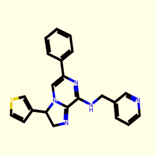 C1=C(c2ccccc2)N=C(NCc2cccnc2)C2=NCC(c3ccsc3)N12